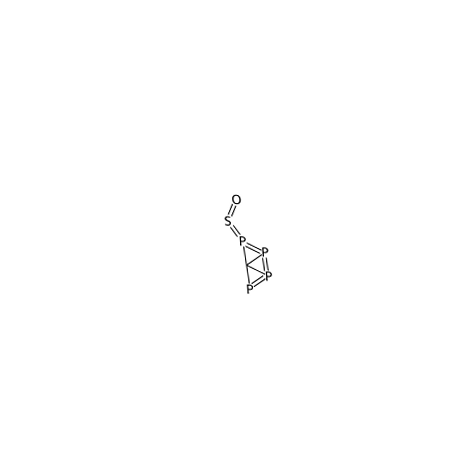 O=S=P1=P2=P3=PC312